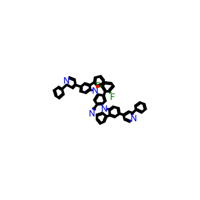 N#Cc1cc(-n2c3ccccc3c3cc(-c4ccnc(-c5ccccc5)c4)ccc32)c(-c2c(F)cccc2F)cc1-n1c2ccccc2c2cc(-c3ccnc(-c4ccccc4)c3)ccc21